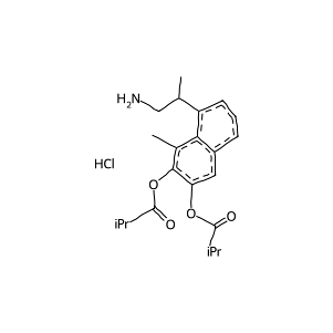 Cc1c(OC(=O)C(C)C)c(OC(=O)C(C)C)cc2cccc(C(C)CN)c12.Cl